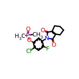 CP(C)(=O)Oc1cc(N2C(=O)C3=C(CCCC3)C2=O)c(F)cc1Cl